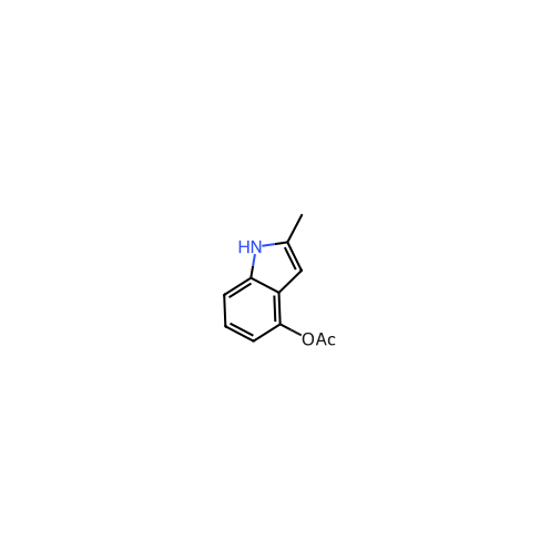 CC(=O)Oc1cccc2[nH]c(C)cc12